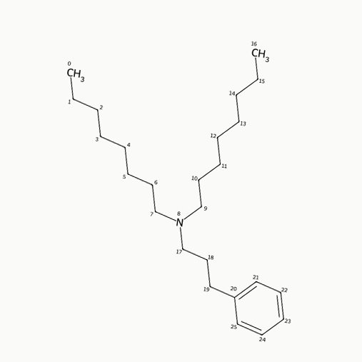 CCCCCCCCN(CCCCCCCC)CCCc1ccccc1